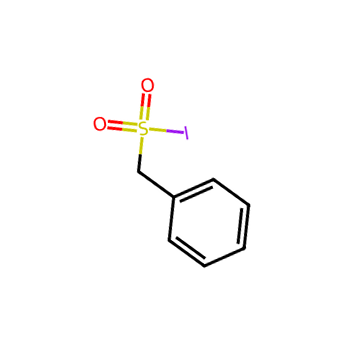 O=S(=O)(I)Cc1ccccc1